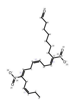 CC/C=C\C/C(=C\C/C=C\C/C=C(\CCCCCC[C]=O)[N+](=O)[O-])[N+](=O)[O-]